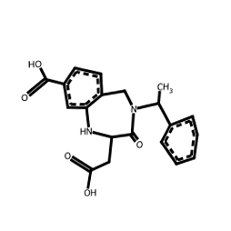 CC(c1ccccc1)N1Cc2ccc(C(=O)O)cc2NC(CC(=O)O)C1=O